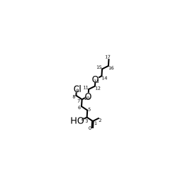 C=C(C)C(O)CCC(CCl)OCCOCCCC